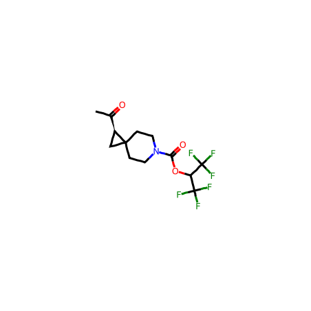 CC(=O)[C@@H]1CC12CCN(C(=O)OC(C(F)(F)F)C(F)(F)F)CC2